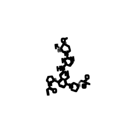 C=CC(=O)N1CCC[C@H]1c1ccc(N2CCC[C@@H](CS(C)(=O)=O)C2)c2cnc(Nc3ccnc(N4CC[C@@H](OC)[C@@H](F)C4)n3)cc12